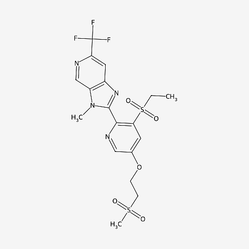 CCS(=O)(=O)c1cc(OCCS(C)(=O)=O)cnc1-c1nc2cc(C(F)(F)F)ncc2n1C